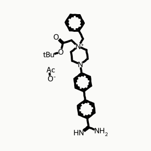 CC(=O)[O-].CC(C)(C)OC(=O)C[N+]1(Cc2ccccc2)CCN(c2ccc(-c3ccc(C(=N)N)cc3)cc2)CC1